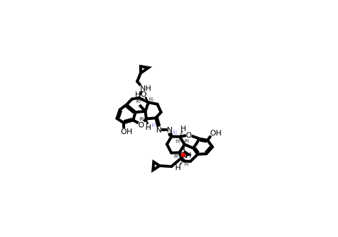 CC12c3c4ccc(O)c3O[C@H]1/C(=N/N=C1\CC[C@]3(O)[C@@H]5Cc6ccc(O)c7c6[C@]3(CCN5CC3CC3)[C@@H]1O7)CC[C@@]2(O)[C@H](NCC1CC1)C4